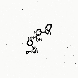 OC(Nc1cccc(-c2nncn2C2CC2)c1)c1cc(-c2cnc3ccccn23)ccn1